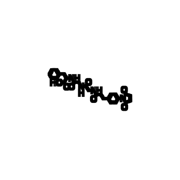 O=C(CCc1ccc(N2C(=O)C=CC2=O)cc1)NCC(=O)NCC(=O)NC(Cc1ccccc1)C(=O)O